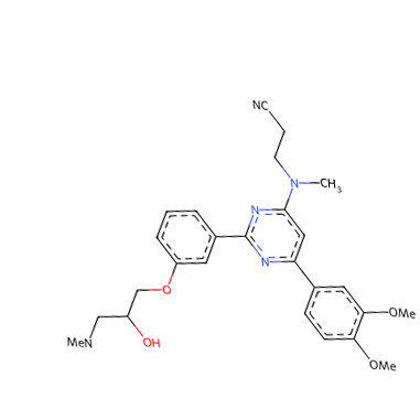 CNCC(O)COc1cccc(-c2nc(-c3ccc(OC)c(OC)c3)cc(N(C)CCC#N)n2)c1